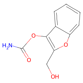 NC(=O)Oc1c(CO)oc2ccccc12